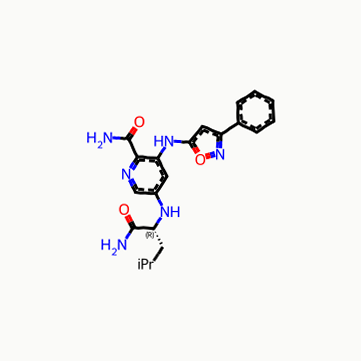 CC(C)C[C@@H](Nc1cnc(C(N)=O)c(Nc2cc(-c3ccccc3)no2)c1)C(N)=O